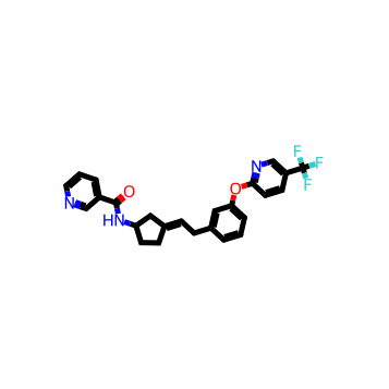 O=C(NC1CC/C(=C\Cc2cccc(Oc3ccc(C(F)(F)F)cn3)c2)C1)c1cccnc1